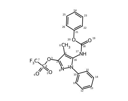 Cc1c(OS(=O)(=O)C(F)(F)F)nn(-c2ccccc2)c1NC(=O)Oc1ccccc1